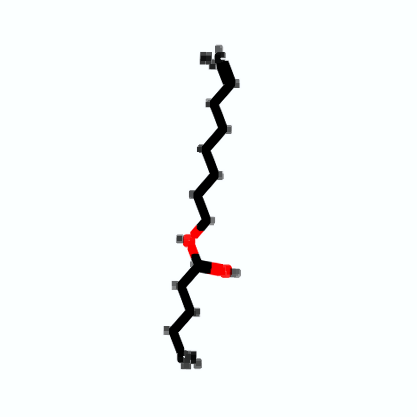 C=CCCCCCCOC(=O)CCCC